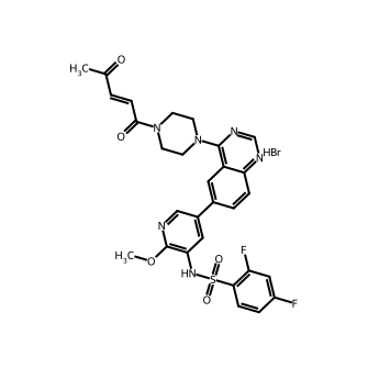 Br.COc1ncc(-c2ccc3ncnc(N4CCN(C(=O)/C=C/C(C)=O)CC4)c3c2)cc1NS(=O)(=O)c1ccc(F)cc1F